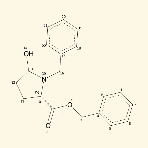 O=C(OCc1ccccc1)[C@@H]1CCC(O)N1Cc1ccccc1